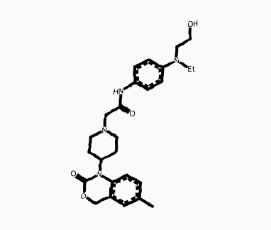 CCN(CCO)c1ccc(NC(=O)CN2CCC(N3C(=O)OCc4cc(C)ccc43)CC2)cc1